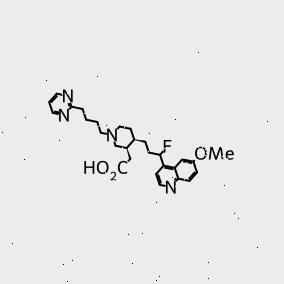 COc1ccc2nccc(C(F)CC[C@@H]3CCN(CCCCc4ncccn4)C[C@@H]3CC(=O)O)c2c1